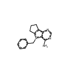 Nc1ncnc2c3c(n(Cc4ccccc4)c12)CCC3